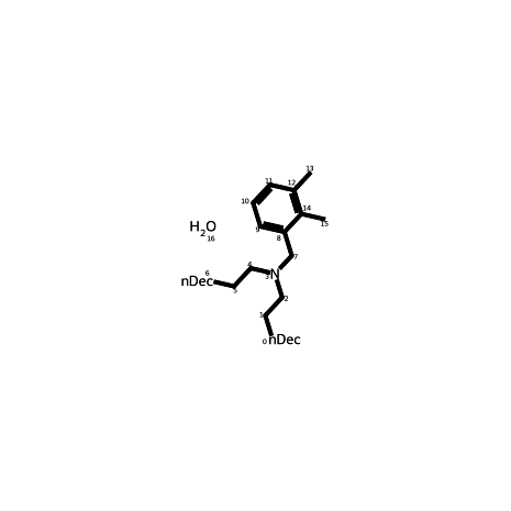 CCCCCCCCCCCCN(CCCCCCCCCCCC)Cc1cccc(C)c1C.O